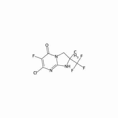 CC1(C(F)(F)F)Cn2c(nc(Cl)c(F)c2=O)N1